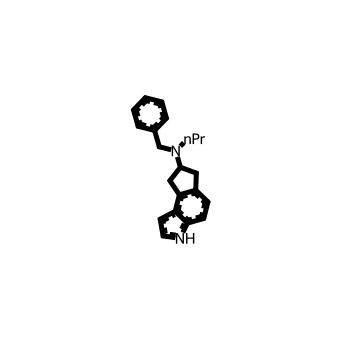 CCCN(Cc1ccccc1)C1Cc2ccc3[nH]ccc3c2C1